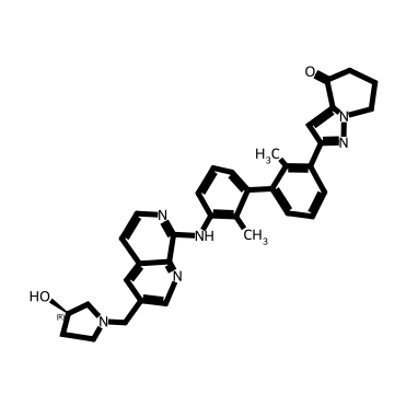 Cc1c(Nc2nccc3cc(CN4CC[C@@H](O)C4)cnc23)cccc1-c1cccc(-c2cc3n(n2)CCCC3=O)c1C